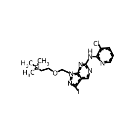 C[Si](C)(C)CCOCn1nc(I)c2cnc(Nc3ncccc3Cl)nc21